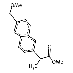 COCc1ccc2cc(C(C)C(=O)OC)ccc2c1